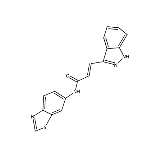 O=C(/C=C/c1n[nH]c2ccccc12)Nc1ccc2ncsc2c1